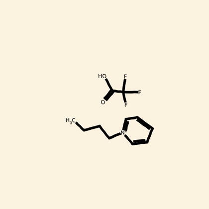 CCCC[n+]1ccccc1.O=C(O)C(F)(F)F